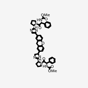 COC(=O)N[C@@H](C(=O)N1CCC[C@H]1C1=NCC(c2ccc3c(c2)Cc2cc(-c4cnc([C@@H]5CCCN5C(=O)[C@H](NC(=O)OC)c5ccccc5)[nH]4)ccc2O3)N1)c1ccccc1